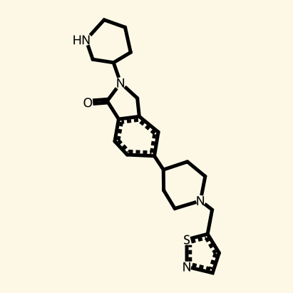 O=C1c2ccc(C3CCN(Cc4ccns4)CC3)cc2CN1C1CCCNC1